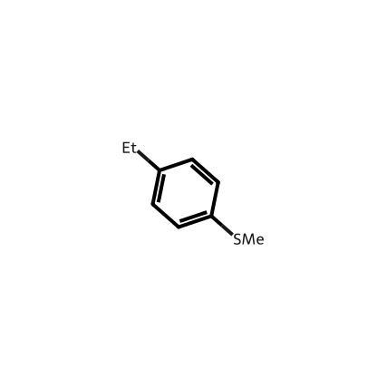 CCc1ccc(SC)cc1